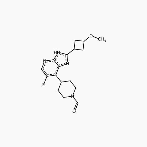 COC1CC(c2nc3c(C4CCN(C=O)CC4)c(F)cnc3[nH]2)C1